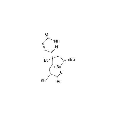 CCCCC(CCCC)CC(CC)(CCC(CCC)C(Cl)CC)c1ccc(=O)[nH]n1